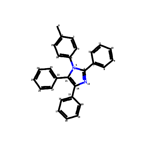 Cc1ccc(-n2c(-c3ccccc3)nc(-c3ccccc3)c2-c2ccccc2)cc1